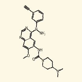 C#Cc1cccc(N(N)c2ncnc3cc(OC)c(NC(=O)N4CCC(N(C)C)CC4)cc23)c1